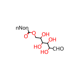 CCCCCCCCCC(=O)OCC(O)C(O)C(O)C(O)C=O